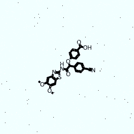 COc1cc2nc(NC(=O)C(Oc3ccc(C(=O)O)cc3)c3ccc(C#N)cc3)sc2cc1OC